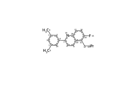 Cc1cc(C)cc(-c2ccc3c(CC(C)C)c(F)ccc3n2)c1